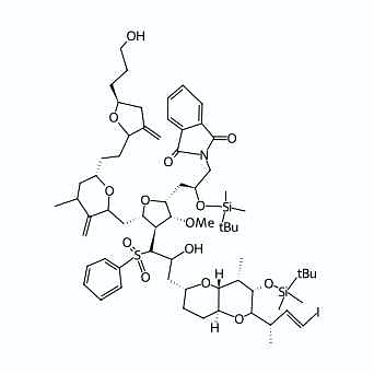 C=C1C[C@H](CCCO)OC1CC[C@H]1CC(C)C(=C)C(C[C@@H]2O[C@H](C[C@@H](CN3C(=O)c4ccccc4C3=O)O[Si](C)(C)C(C)(C)C)[C@H](OC)[C@H]2C(C(O)C[C@H]2CC[C@@H]3OC([C@@H](C)/C=C/I)[C@@H](O[Si](C)(C)C(C)(C)C)[C@@H](C)[C@H]3O2)S(=O)(=O)c2ccccc2)O1